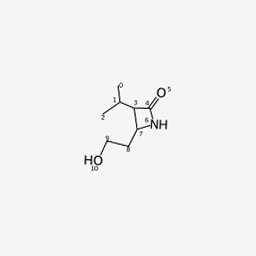 CC(C)C1C(=O)NC1CCO